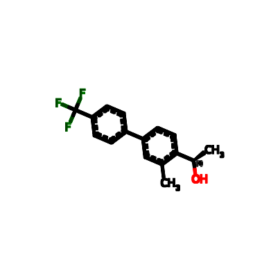 Cc1cc(-c2ccc(C(F)(F)F)cc2)ccc1[C@@H](C)O